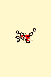 CC1(C)c2ccccc2-c2cc3c(cc21)-c1ccccc1C31c2ccccc2-c2ccccc2-c2ccc(-c3nc(-c4ccccc4)nc(-c4ccc(-c5ccccc5)cc4)n3)cc21